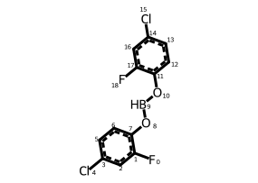 Fc1cc(Cl)ccc1OBOc1ccc(Cl)cc1F